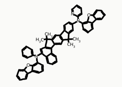 CC1(C)c2cc(N(c3ccccn3)c3cccc4c3oc3ccccc34)ccc2-c2cc3c(cc21)-c1c(cc(N(c2ccccc2)c2cccc4c2oc2ccccc24)c2ccccc12)C3(C)C